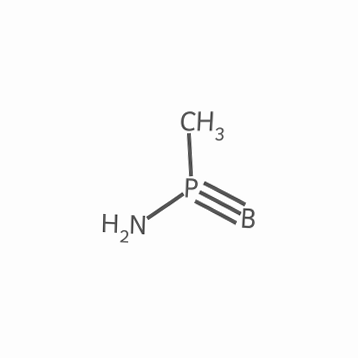 B#P(C)N